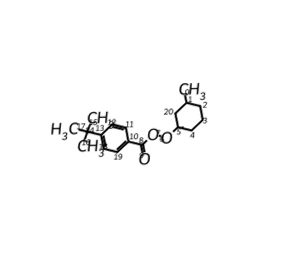 CC1CCC[C](OOC(=O)c2ccc(C(C)(C)C)cc2)C1